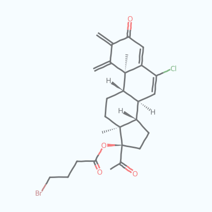 C=C1C(=C)[C@@]2(C)C(=CC1=O)C(Cl)=C[C@@H]1[C@@H]2CC[C@@]2(C)[C@H]1CC[C@]2(OC(=O)CCCBr)C(C)=O